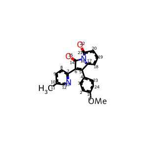 COc1ccc(C2=C(c3ccc(C)cn3)C(=O)n3c2cccc3=O)cc1